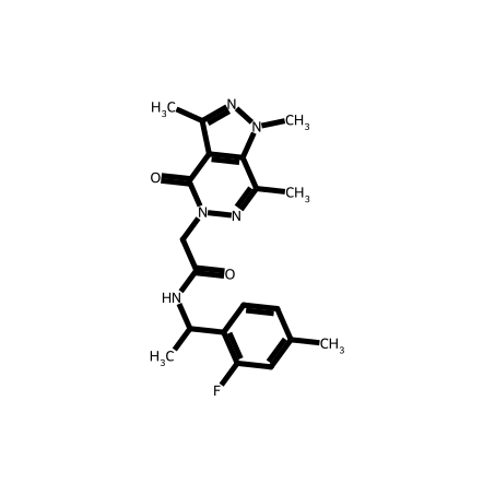 Cc1ccc(C(C)NC(=O)Cn2nc(C)c3c(c(C)nn3C)c2=O)c(F)c1